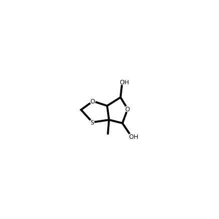 CC12SCOC1C(O)OC2O